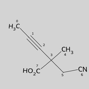 CC#CC(C)(CC#N)C(=O)O